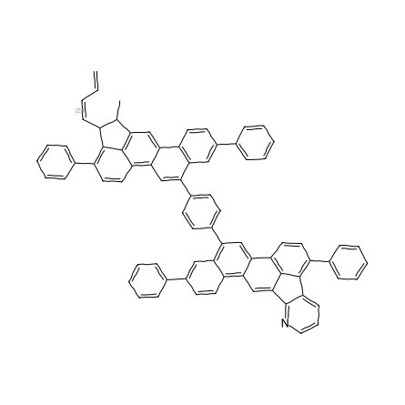 C=C/C=C\C1c2c(-c3ccccc3)ccc3c2c(cc2c4ccc(-c5ccccc5)cc4c(-c4ccc(-c5cc6c7ccc(-c8ccccc8)c8c7c(cc6c6ccc(-c7ccccc7)cc56)-c5ncccc5-8)cc4)cc32)C1C